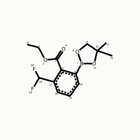 CCOC(=O)c1c(B2OCC(C)(C)O2)cccc1C(F)F